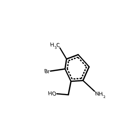 Cc1ccc(N)c(CO)c1Br